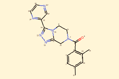 Cc1ccc(C(=O)N2CCn3c(nnc3-c3cnccn3)C2)c(C)c1